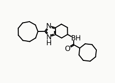 O=C(BC1CCc2nc(C3CCCCCCCC3)[nH]c2C1)C1CCCCCCC1